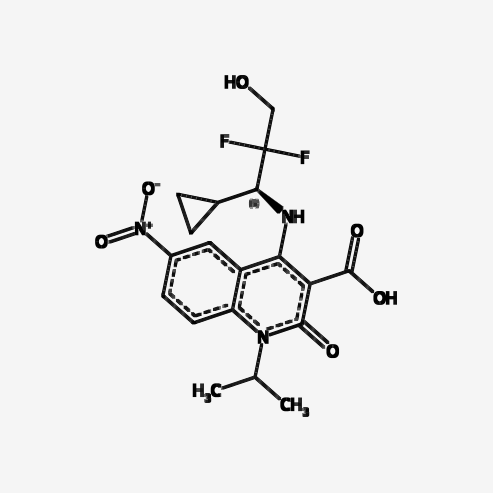 CC(C)n1c(=O)c(C(=O)O)c(N[C@@H](C2CC2)C(F)(F)CO)c2cc([N+](=O)[O-])ccc21